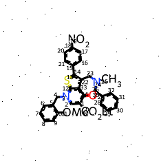 CCOC(=O)c1cn(Cc2ccccc2OC)c2sc(-c3ccc([N+](=O)[O-])cc3)c(CN(C)Cc3ccccc3)c2c1=O